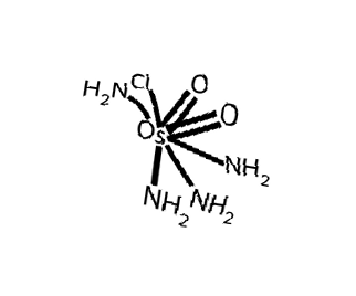 [NH2][Os]([NH2])([NH2])([NH2])(=[O])(=[O])[Cl]